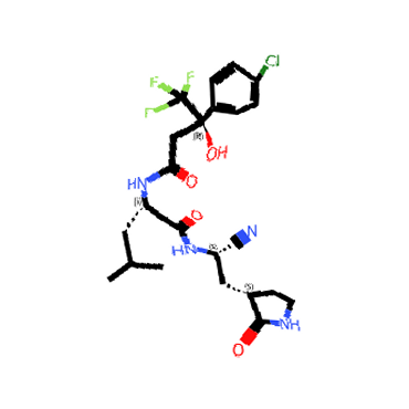 CC(C)C[C@H](NC(=O)C[C@@](O)(c1ccc(Cl)cc1)C(F)(F)F)C(=O)N[C@H](C#N)C[C@@H]1CCNC1=O